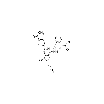 CCCN1Cc2c(N[C@H](CCC(=O)O)Cc3ccccc3)nc(N3CCN(C(C)=O)CC3)nc2C1=O